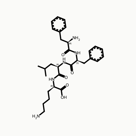 CC(C)C[C@@H](NC(=O)[C@H](Cc1ccccc1)NC(=O)[C@H](N)Cc1ccccc1)C(=O)N[C@H](CCCCN)C(=O)O